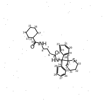 CC1(C(NC(=O)CCCNC(=O)C2CCCCC2)(c2ccccc2)c2ccccc2)SCCCS1